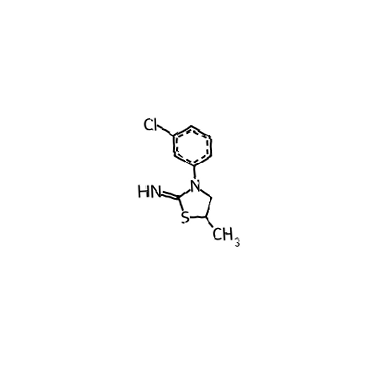 CC1CN(c2cccc(Cl)c2)C(=N)S1